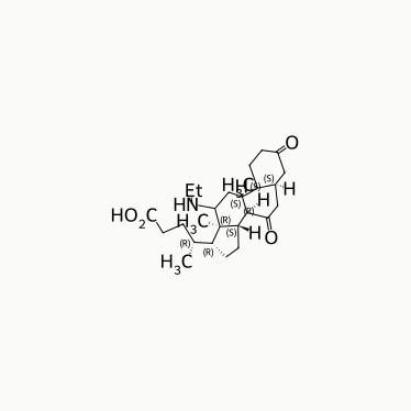 CCNC1C[C@H]2[C@@H](C(=O)C[C@@H]3CC(=O)CC[C@@]32C)[C@@H]2CC[C@H]([C@H](C)CCC(=O)O)[C@@]12C